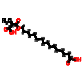 C=C(C(=O)O)C(=O)OCCCCCCCCCCCCCCCC(=O)O